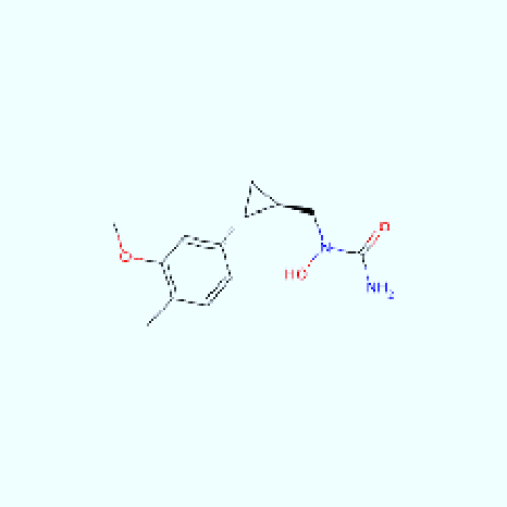 COc1cc([C@@H]2C[C@H]2CN(O)C(N)=O)ccc1C